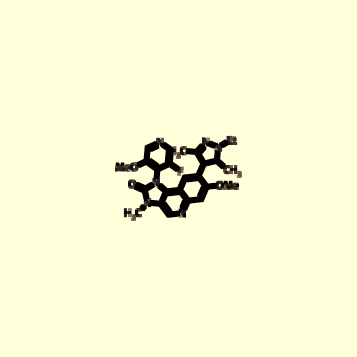 CCN1N=C(C)C(c2cc3c(cc2OC)ncc2c3n(-c3c(F)cncc3OC)c(=O)n2C)C1C